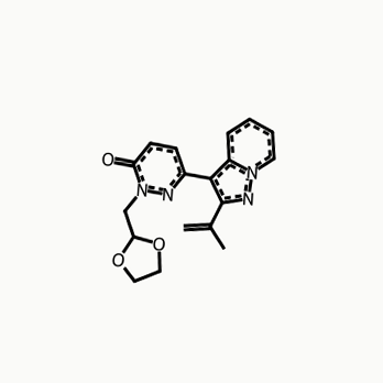 C=C(C)c1nn2ccccc2c1-c1ccc(=O)n(CC2OCCO2)n1